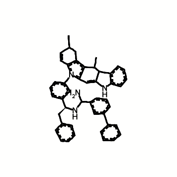 CC1C=Cc2c(c3c(n2-c2cccc([C@H](Cc4ccccc4)NC(N)c4cccc(-c5ccccc5)c4)c2)C=C2Nc4ccccc4C2C3C)C1